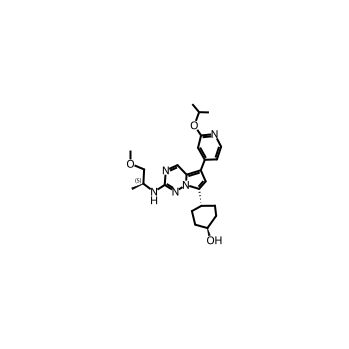 COC[C@H](C)Nc1ncc2c(-c3ccnc(OC(C)C)c3)cc([C@H]3CC[C@H](O)CC3)n2n1